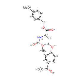 COc1ccc(COC(=O)C(CCOc2ccc(C(=O)C(=O)O)cc2)NC(=O)OC(C)(C)C)cc1